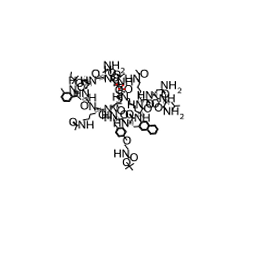 CCC(C)(C)O[C@H](C)[C@@H]1NC(=O)[C@H](CC(N)=O)NC(=O)[C@@H](NC(C)=O)C(C)(C)SSC(C)(C)[C@@H](C(=O)N[C@@H](Cc2ccc(OCCNC(=O)OC(C)(C)C)cc2)C(=O)N[C@@H](Cc2ccc3ccccc3c2)C(=O)N[C@@](C)(CCCCNC(=O)OC(C)(C)C)C(=O)N[C@@H](CCCCNC(C)=O)C(=O)N[C@@H](CC(N)=O)C(=O)N[C@H](CC(C)C)C(N)=O)NC(=O)[C@H](CCCCNC(C)=O)NC(=O)[C@H](Cc2c[nH]c3c(C)cccc23)NC1=O